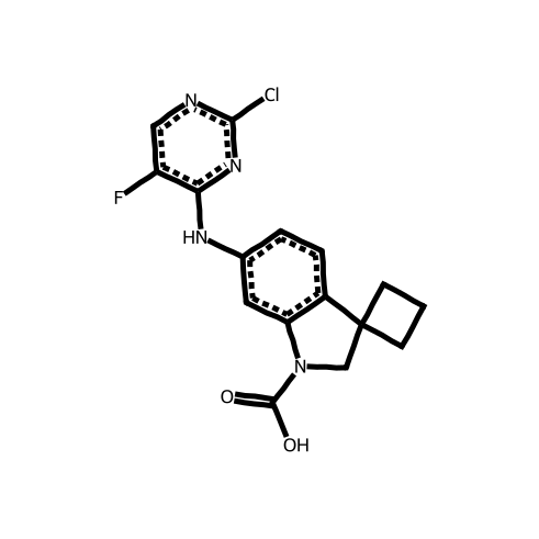 O=C(O)N1CC2(CCC2)c2ccc(Nc3nc(Cl)ncc3F)cc21